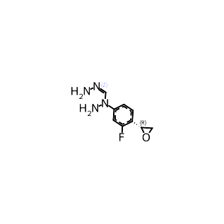 N/N=C\N(N)c1ccc([C@@H]2CO2)c(F)c1